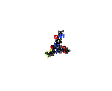 CC(C)(C)CNC(=O)c1ccc2c(c1)nc(NC(=O)c1ccc(C(F)F)s1)n2C[C@H]1CCCN1C(=O)OC(C)(C)C